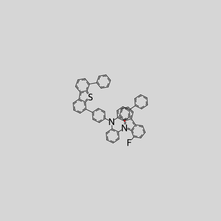 Fc1cccc2c3ccccc3n(-c3ccccc3N(c3ccc(-c4ccccc4)cc3)c3ccc(-c4cccc5c4sc4c(-c6ccccc6)cccc45)cc3)c12